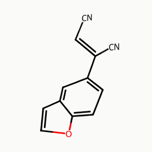 N#CC=C(C#N)c1ccc2occc2c1